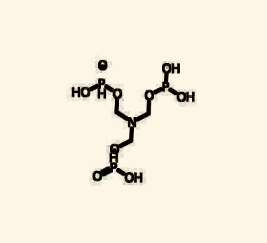 O=[PH](O)OCN(COP(O)O)CO[PH](=O)O